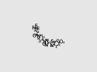 COc1ccc2nc(-c3noc(C4CCN(C(=O)CCC(F)(F)F)CC4)n3)sc2c1